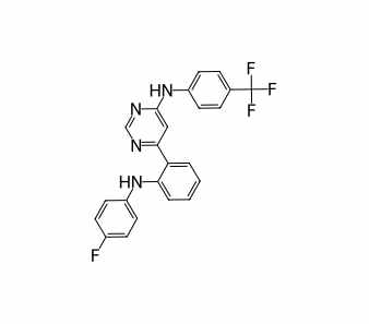 Fc1ccc(Nc2ccccc2-c2cc(Nc3ccc(C(F)(F)F)cc3)ncn2)cc1